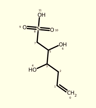 C=CCC(O)C(O)CS(=O)(=O)O